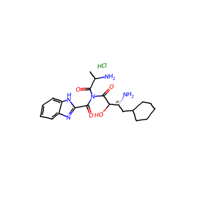 CC(N)C(=O)N(C(=O)c1nc2ccccc2[nH]1)C(=O)C(O)[C@H](N)CC1CCCCC1.Cl